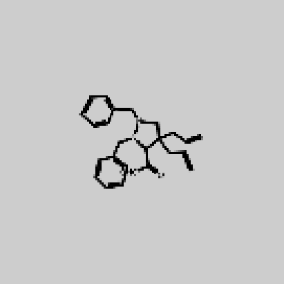 C=CCC1(CC=C)CN(Cc2ccccc2)N(Cc2ccccc2)C1C(=O)C=O